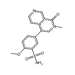 COc1ccc(-c2cn(C)c(=O)c3cnccc23)cc1S(N)(=O)=O